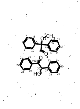 COC(C=O)(c1ccccc1)c1ccccc1.O=C(c1ccccc1)C(O)c1ccccc1